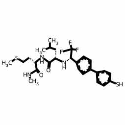 CNC(=O)[C@H](CCSC)NC(=O)[C@H](CC(C)C)N[C@@H](c1ccc(-c2ccc(S)cc2)cc1)C(F)(F)F